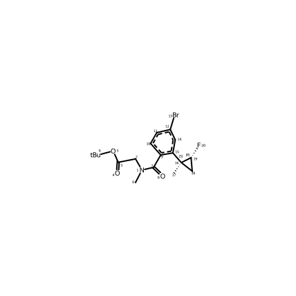 CN(CC(=O)OC(C)(C)C)C(=O)c1ccc(Br)cc1[C@]1(C)C[C@H]1F